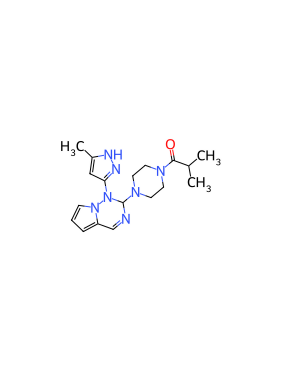 Cc1cc(N2C(N3CCN(C(=O)C(C)C)CC3)N=Cc3cccn32)n[nH]1